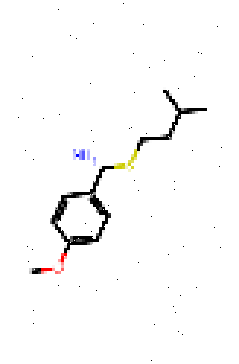 COc1ccc(CSCCC(C)C)cc1.N